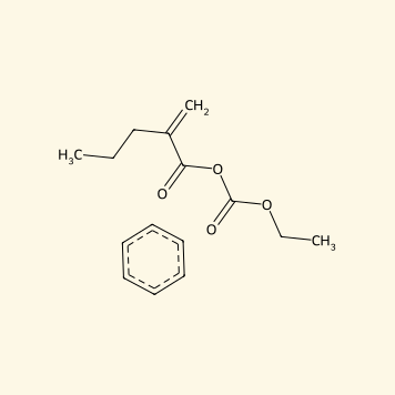 C=C(CCC)C(=O)OC(=O)OCC.c1ccccc1